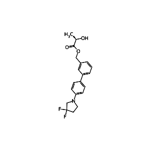 C[C@@H](O)C(=O)OCc1cccc(-c2ccc(N3CCC(F)(F)C3)cc2)c1